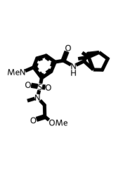 CNc1ccc(C(=O)NC2CC3CCC2C3(C)C)cc1S(=O)(=O)N(C)CC(=O)OC